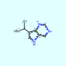 CCCCC(CC)c1c[nH]c2cncnc12